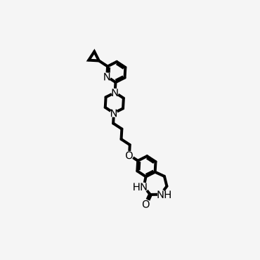 O=C1NCCc2ccc(OCCCCN3CCN(c4cccc(C5CC5)n4)CC3)cc2N1